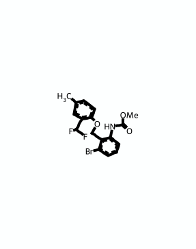 COC(=O)Nc1cccc(Br)c1COc1ccc(C)cc1C(F)F